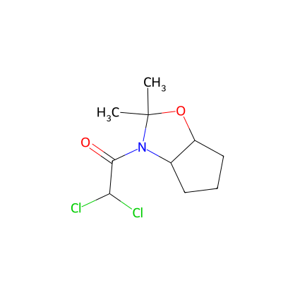 CC1(C)OC2CCCC2N1C(=O)C(Cl)Cl